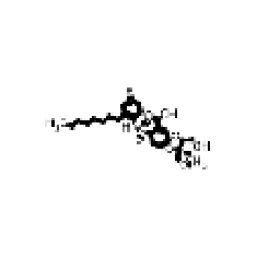 CCCCCCCCc1cc(F)ccc1NS(=O)(=O)C1CCC2(C=C1C(=O)O)O[C@@H](CO)[C@](CC)(CO)O2